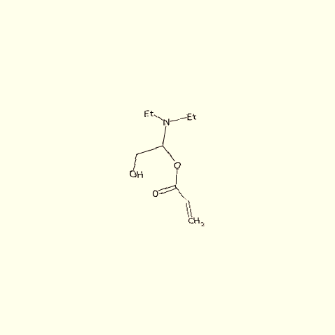 C=CC(=O)OC(CO)N(CC)CC